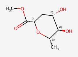 COC(=O)[C@@H]1C[C@H](O)[C@@H](O)[C@H](C)O1